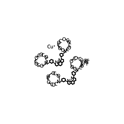 F[B-](F)(F)F.[Cu+].c1cc(CN2CCOCCOCCOCCOCCOCC2)cc(-c2ccc3ccc4ccc(-c5cccc(CN6CCOCCOCCOCCOCCOCC6)c5)nc4c3n2)c1.c1cc(CN2CCOCCOCCOCCOCCOCC2)cc(-c2ccc3ccc4ccc(-c5cccc(CN6CCOCCOCCOCCOCCOCC6)c5)nc4c3n2)c1